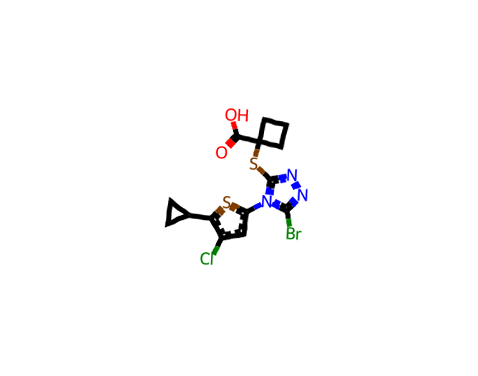 O=C(O)C1(Sc2nnc(Br)n2-c2cc(Cl)c(C3CC3)s2)CCC1